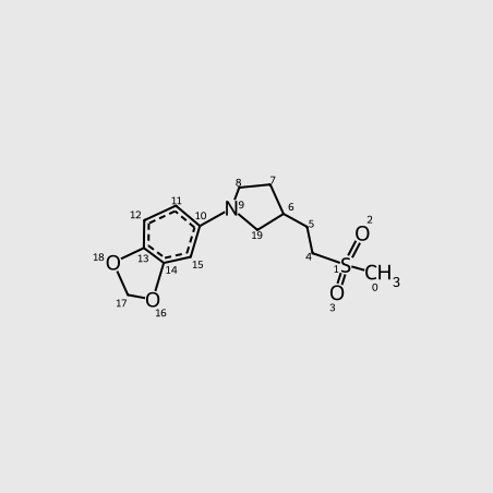 CS(=O)(=O)CCC1CCN(c2ccc3c(c2)OCO3)C1